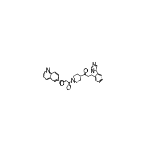 O=C(CC1c2ccccc2-c2cncn21)C1CCN(C(=O)COc2ccc3ncccc3c2)CC1